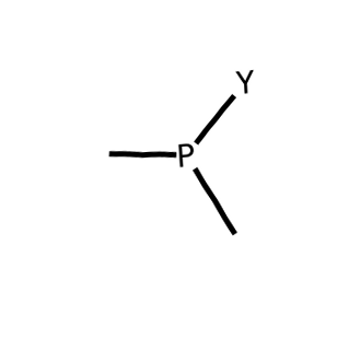 C[P](C)[Y]